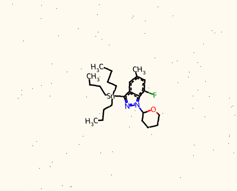 CCC[CH2][Sn]([CH2]CCC)([CH2]CCC)[c]1nn(C2CCCCO2)c2c(F)cc(C)cc12